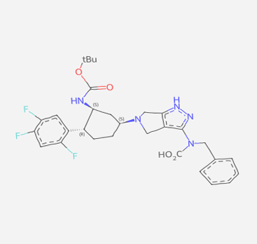 CC(C)(C)OC(=O)N[C@H]1C[C@@H](N2Cc3[nH]nc(N(Cc4ccccc4)C(=O)O)c3C2)CC[C@@H]1c1cc(F)c(F)cc1F